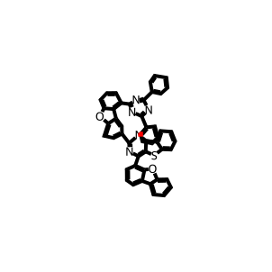 c1ccc(-c2nc(-c3ccccc3)nc(-c3cccc4oc5ccc(-c6nc(-c7cccc8c7oc7ccccc78)c7sc8ccccc8c7n6)cc5c34)n2)cc1